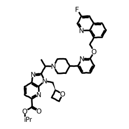 CC(C)OC(=O)c1ccc2nc(C(C)N3CCC(c4cccc(OCc5cccc6cc(F)cnc56)n4)CC3)n(C[C@@H]3CCO3)c2n1